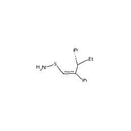 CCC(/C(=C\SN)C(C)C)C(C)C